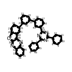 c1ccc(-c2nc(-c3ccccc3)nc(-c3cccc(-c4cccc(-c5ccc6oc7nc8ccccc8nc7c6c5)c4)c3)n2)cc1